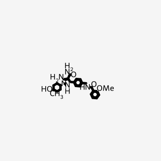 COc1ccccc1C(=O)NCc1ccc(C2NN(C3CCC(C)(O)CC3)C(N)=C2C(N)=O)cc1